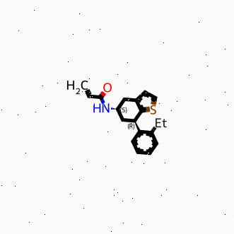 C=CC(=O)N[C@@H]1Cc2ccsc2[C@@H](c2ccccc2CC)C1